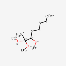 CCCCCCCCCCCCCCC(OCC)C([SiH3])(OCC)OCC